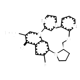 Cc1cccnc1OC[C@H]1CCCN1c1cc2c(cc1F)c(=O)c(C(=O)O)cn2-c1cnccn1